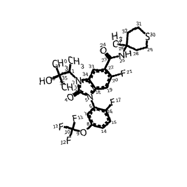 CC(n1c(=O)n(-c2cc(OC(F)(F)F)ccc2F)c2cc(F)c(C(=O)NC3(C)CCSCC3)cc21)C(C)(C)O